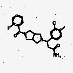 Cc1ccc(C(CC(N)=O)N2CC3CN(C(=O)c4ccccc4F)CC3C2)cc1Cl